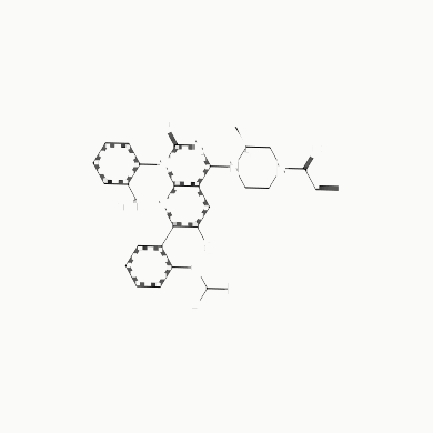 C=CC(=O)N1CCN(c2nc(=O)n(-c3ccccc3CCC)c3nc(-c4ccccc4OC(F)F)c(Cl)cc23)[C@@H](C)C1